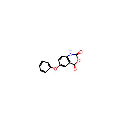 O=c1[nH]c2ccc(Oc3ccccc3)cc2c(=O)o1